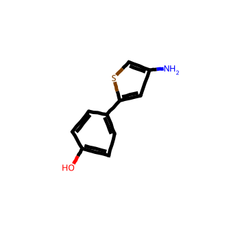 Nc1csc(-c2ccc(O)cc2)c1